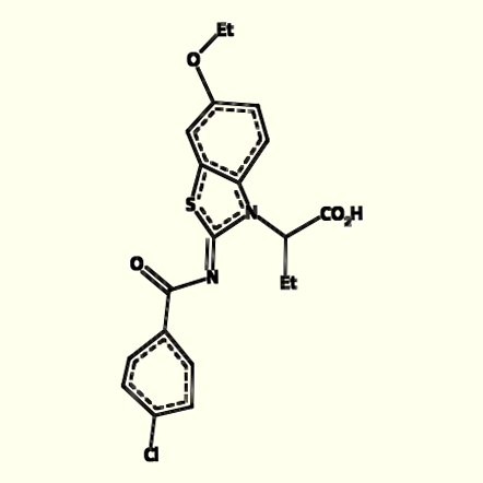 CCOc1ccc2c(c1)sc(=NC(=O)c1ccc(Cl)cc1)n2C(CC)C(=O)O